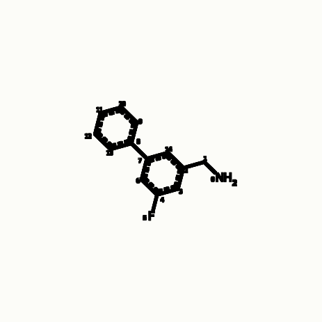 NCc1cc(F)cc(-c2ccccc2)c1